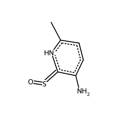 Cc1ccc(N)c(=S=O)[nH]1